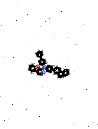 c1ccc(-c2ccc(N(c3ccc(-c4ccc5c(ccc6ccccc65)c4)cc3)c3nccc4c3oc3ccccc34)cc2)cc1